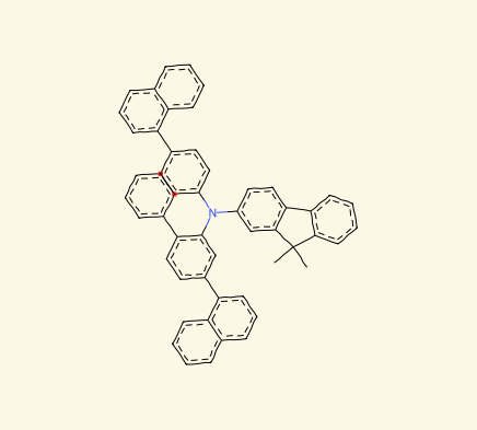 CC1(C)c2ccccc2-c2ccc(N(c3ccc(-c4cccc5ccccc45)cc3)c3cc(-c4cccc5ccccc45)ccc3-c3ccccc3)cc21